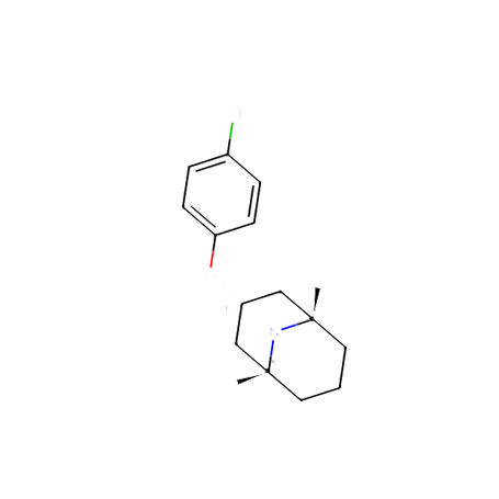 Clc1ccc(O[C@H]2C[C@H]3CCC[C@@H](C2)N3)cc1